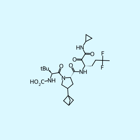 CC(F)(F)CC[C@H](NC(=O)[C@@H]1CC(C23CC(C2)C3)CN1C(=O)[C@@H](NC(=O)O)C(C)(C)C)C(=O)C(=O)NC1CC1